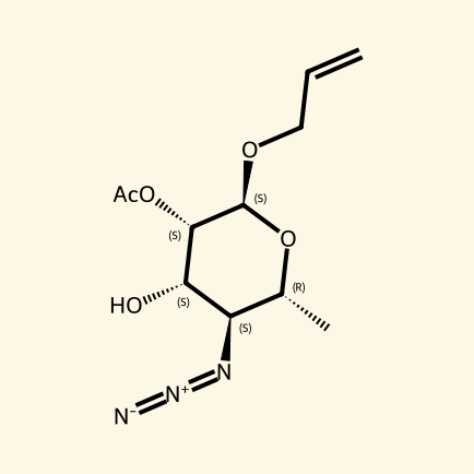 C=CCO[C@H]1O[C@H](C)[C@@H](N=[N+]=[N-])[C@H](O)[C@@H]1OC(C)=O